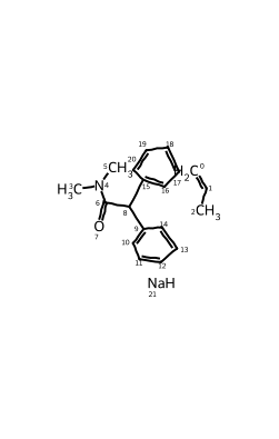 C=CC.CN(C)C(=O)C(c1ccccc1)c1ccccc1.[NaH]